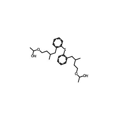 CC(CCOC(C)O)Cc1ccccc1Sc1ccccc1CC(C)CCOC(C)O